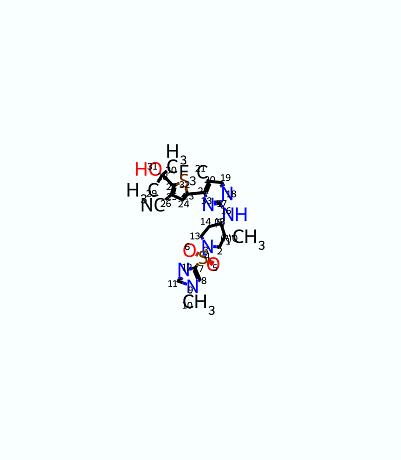 C[C@@H]1CN(S(=O)(=O)c2cn(C)cn2)CC[C@@H]1Nc1ncc(C(F)(F)F)c(-c2cc(C#N)c(C(C)(C)O)s2)n1